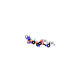 CCn1cc(S(=O)(=O)Nc2ccc(Oc3ccnc4cc(OCCCN5CCCC(C)C5)c(OC)cc34)c(F)c2)cn1